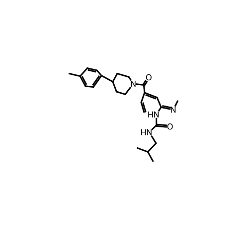 C=C/C(=C\C(=N/C)NC(=O)NCC(C)C)C(=O)N1CCC(c2ccc(C)cc2)CC1